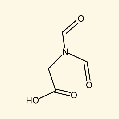 O=CN(C=O)CC(=O)O